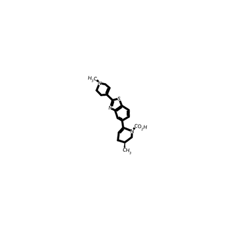 C[C@H]1CC=C(c2ccc3sc(C4=CCN(C)CC4)nc3c2)N(C(=O)O)C1